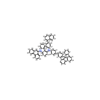 c1ccc([Si](c2ccccc2)(c2ccccc2)c2ccc(-c3ccc(N(c4ccc(-c5cccc6ccccc56)cc4)c4cccc5c4c4ccccc4n5-c4cc5ccccc5c5ccccc45)cc3)cc2)cc1